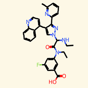 CCNC(C(=O)N(CC)c1cc(F)cc(C(=O)O)c1)n1cc(-c2ccnc3ccccc23)c(-c2cccc(C)n2)n1